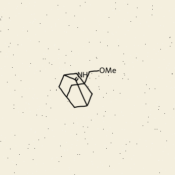 COCC12CC3CC(C1)C(=N)C(C3)C2